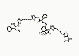 C=CCC(c1ccccc1)C(O)Nc1nnc(CCCCc2nnc(NC(=O)C(C/C=C\c3ccc(Cl)c([C@](C)(O)C(=O)Nc4nnc(CCCCc5nnc(NC=O)s5)s4)c3)c3ccccc3)s2)s1